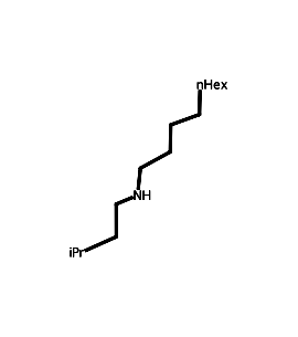 CCCCCCCCCCNCCC(C)C